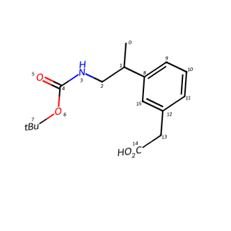 CC(CNC(=O)OC(C)(C)C)c1cccc(CC(=O)O)c1